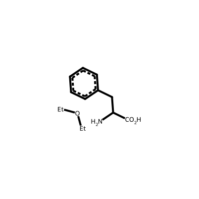 CCOCC.NC(Cc1ccccc1)C(=O)O